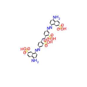 Nc1ccc(N=Nc2ccc(/C=C/c3ccc(N=Nc4ccc(N)c5ccc(S(=O)(=O)O)cc45)cc3S(=O)(=O)O)c(S(=O)(=O)O)c2)c2cc(S(=O)(=O)O)ccc12